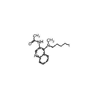 CC(=O)Nc1cnc2ccccc2c1N(C)CCCCI